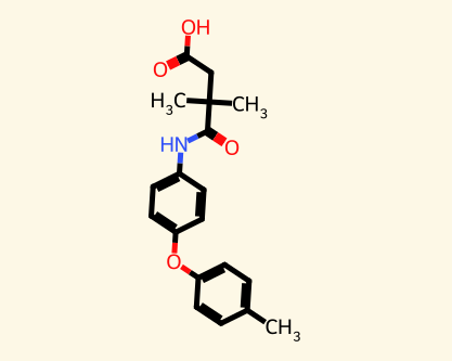 Cc1ccc(Oc2ccc(NC(=O)C(C)(C)CC(=O)O)cc2)cc1